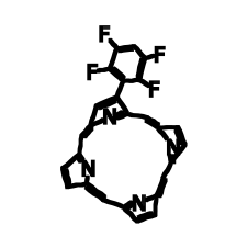 Fc1cc(F)c(F)c(C2=CC3=CC4=NC(=CC5=NC(=CC6=NC(=CC2=N3)C=C6)C=C5)C=C4)c1F